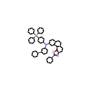 c1ccc(-c2cccc(N(c3ccc([Si](c4ccccc4)(c4ccccc4)c4ccccc4)cc3)c3ccc4ccc5ccc6nc(-c7ccccc7)oc6c5c4c3)c2)cc1